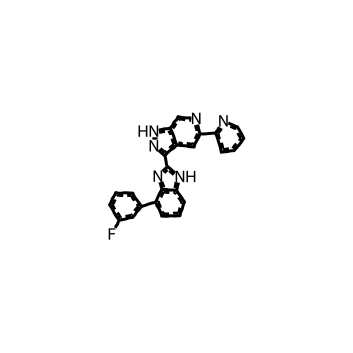 Fc1cccc(-c2cccc3[nH]c(-c4n[nH]c5cnc(-c6ccccn6)cc45)nc23)c1